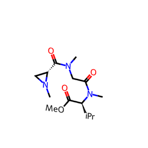 COC(=O)[C@H](C(C)C)N(C)C(=O)CN(C)C(=O)[C@H]1CN1C